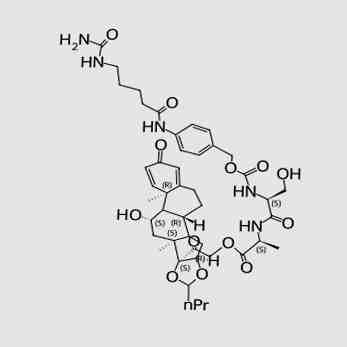 CCCC1O[C@@H]2CC3[C@H]4CCC5=CC(=O)C=C[C@]5(C)C4[C@@H](O)C[C@]3(C)[C@]2(C(=O)COC(=O)[C@H](C)NC(=O)[C@H](CO)NC(=O)OCc2ccc(NC(=O)CCCCNC(N)=O)cc2)O1